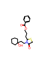 O=C(OCCCC1SCC(=O)N1CCC1(O)CCCCC1)c1ccccc1